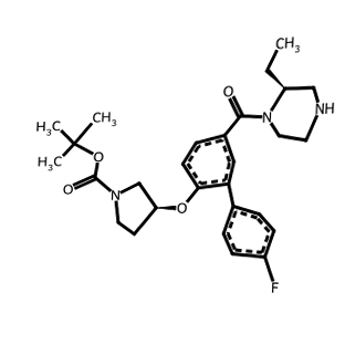 CC[C@H]1CNCCN1C(=O)c1ccc(O[C@H]2CCN(C(=O)OC(C)(C)C)C2)c(-c2ccc(F)cc2)c1